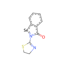 O=c1c2ccccc2[se]n1C1=NCCS1